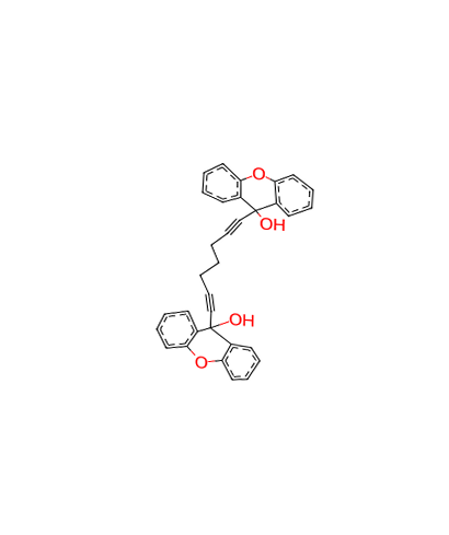 OC1(C#CCCCC#CC2(O)c3ccccc3Oc3ccccc32)c2ccccc2Oc2ccccc21